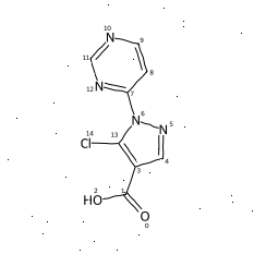 O=C(O)c1cnn(-c2ccncn2)c1Cl